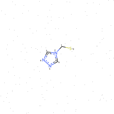 [S]Cn1cnnc1